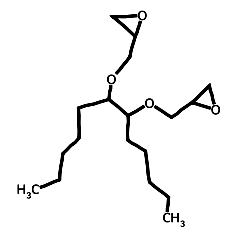 CCCCCC(OCC1CO1)C(CCCCC)OCC1CO1